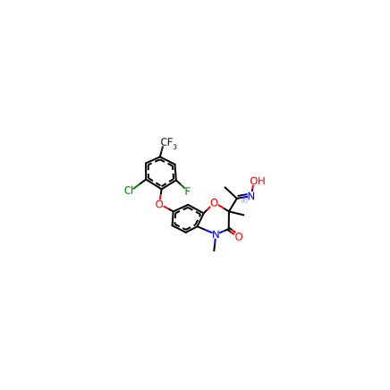 C/C(=N\O)C1(C)Oc2cc(Oc3c(F)cc(C(F)(F)F)cc3Cl)ccc2N(C)C1=O